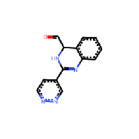 O=CC1NC(c2ccnnc2)=Nc2ccccc21